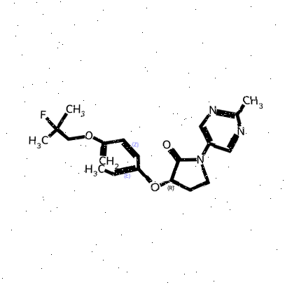 C=C(/C=C\C(=C/C)O[C@@H]1CCN(c2cnc(C)nc2)C1=O)OCC(C)(C)F